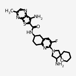 Cc1cnc2c(N)c(C(=O)NC3CCc4nc(N5CC(N)C6(CCCCO6)C5)c(F)cc4C3)sc2n1